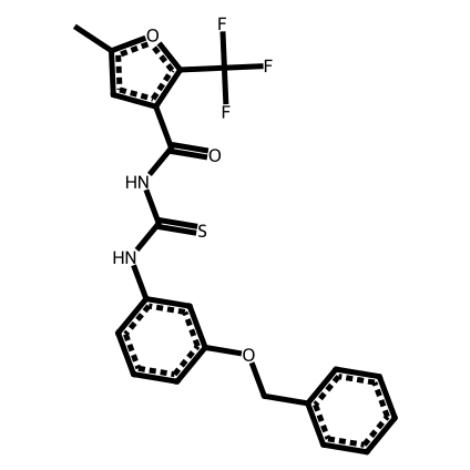 Cc1cc(C(=O)NC(=S)Nc2cccc(OCc3ccccc3)c2)c(C(F)(F)F)o1